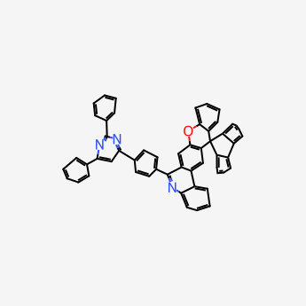 c1ccc(-c2cc(-c3ccc(-c4nc5ccccc5c5cc6c(cc45)Oc4ccccc4C64c5ccccc5-c5ccccc54)cc3)nc(-c3ccccc3)n2)cc1